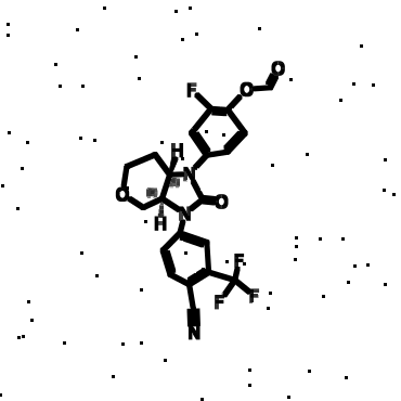 N#Cc1ccc(N2C(=O)N(c3ccc(OC=O)c(F)c3)[C@H]3CCOC[C@@H]32)cc1C(F)(F)F